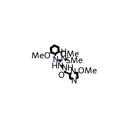 COc1cncc(C(=O)NN/C(=N/c2c(OC)cccc2OC)NSC)n1